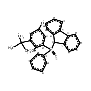 Cc1cc(C(C)(C)C)c(O)c(P(=O)(c2ccccc2)C2c3ccccc3-c3ccccc32)c1